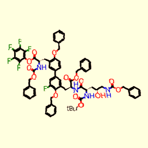 CC(C)(C)OC(=O)N[C@@H](C[C@@H](O)CNC(=O)OCc1ccccc1)C(=O)N[C@@H](Cc1cc(-c2ccc(OCc3ccccc3)c(C[C@H](NC(=O)OCc3ccccc3)C(=O)Oc3c(F)c(F)c(F)c(F)c3F)c2)cc(F)c1OCc1ccccc1)C(=O)OCc1ccccc1